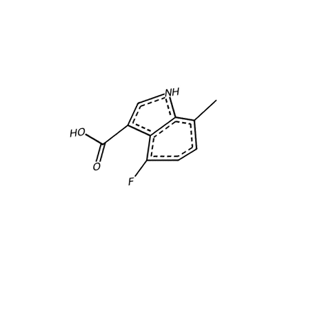 Cc1ccc(F)c2c(C(=O)O)c[nH]c12